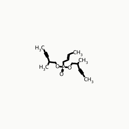 CC#CC(C)COP(=O)(CC=CC)OCC(C)C#CC